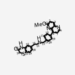 COc1ccc2nccc(-c3ccc(CNCCc4ccc5c(c4)NC(=O)CS5)cc3)c2n1